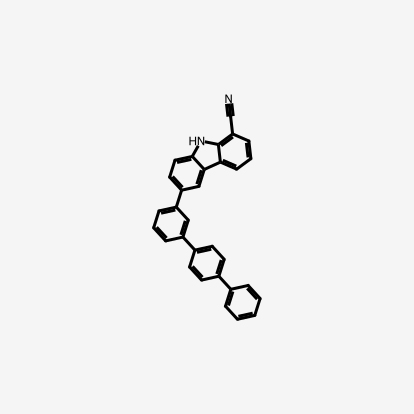 N#Cc1cccc2c1[nH]c1ccc(-c3cccc(-c4ccc(-c5ccccc5)cc4)c3)cc12